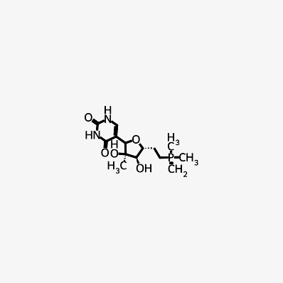 C=P(C)(C)CC[C@H]1OC(c2c[nH]c(=O)[nH]c2=O)[C@](C)(O)[C@@H]1O